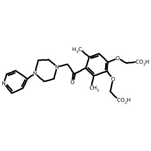 Cc1cc(OCC(=O)O)c(OCC(=O)O)c(C)c1C(=O)CN1CCN(c2ccncc2)CC1